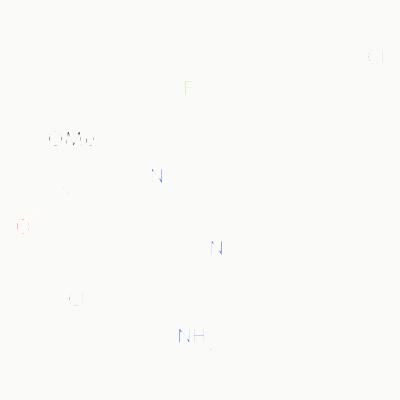 COC(=O)c1nc(-c2ccc(Cl)cc2F)nc(N)c1Cl